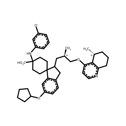 C[C@@H](COc1ccnc2c1[C@H](C)CCC2)CC1Cc2ccc(OC3CCCC3)cc2C12CCC(Nc1cccc(Cl)c1)(C(=O)O)CC2